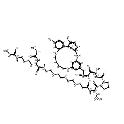 CC(C)[C@H](NC(=O)[C@@H]1CCCN1C(=O)[C@H](CC(=O)O)NC(=O)CCOCCOCCOCCNC(=O)[C@H](CCCCNC(=O)OC(C)(C)C)NC(=O)OC(C)(C)C)C(=O)N=[S@@](C)(=O)Cc1cc2cc(c1)OCCCCOc1cc(F)ccc1-c1nc(ncc1F)N2